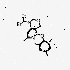 CCC(CC)N1COCc2c1cc(C)nc2Oc1c(C)cc(C)cc1C